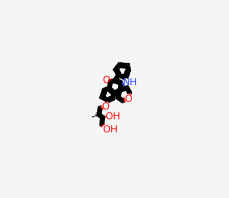 C[C@H](COc1ccc2c(c1)C1(CCOCC1)c1[nH]c3ccccc3c1C2=O)[C@H](O)CO